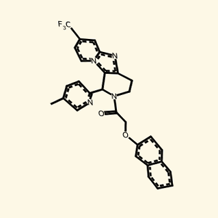 Cc1ccc(C2c3c(nc4cc(C(F)(F)F)ccn34)CCN2C(=O)COc2ccc3ccccc3c2)nc1